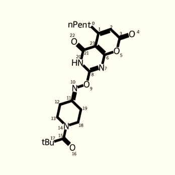 CCCCCc1cc(=O)oc2nc(ON=C3CCN(C(=O)C(C)(C)C)CC3)[nH]c(=O)c12